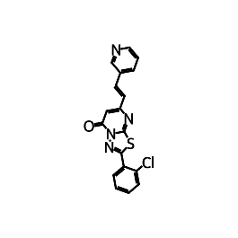 O=c1cc(/C=C/c2cccnc2)nc2sc(-c3ccccc3Cl)nn12